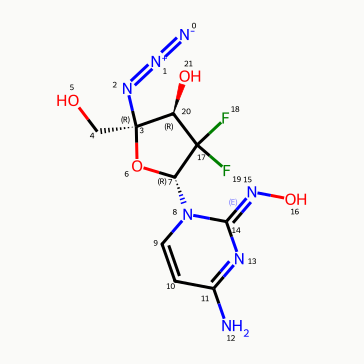 [N-]=[N+]=N[C@]1(CO)O[C@@H](n2ccc(N)n/c2=N\O)C(F)(F)[C@@H]1O